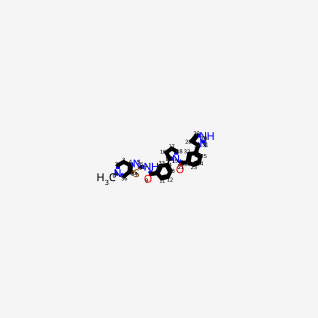 CN1CCc2nc(NC(=O)c3cccc([C@H]4CCCN4C(=O)c4cccc(-c5cc[nH]n5)c4)c3)sc2C1